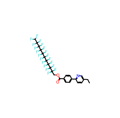 CCc1ccc(-c2ccc(C(=O)OCC(F)(F)C(F)(F)C(F)(F)C(F)(F)C(F)(F)C(F)(F)C(F)(F)C(F)(F)C(F)(F)C(F)F)cc2)nc1